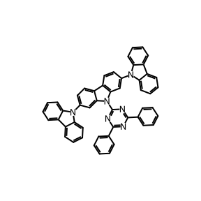 c1ccc(-c2nc(-c3ccccc3)nc(-n3c4cc(-n5c6ccccc6c6ccccc65)ccc4c4ccc(-n5c6ccccc6c6ccccc65)cc43)n2)cc1